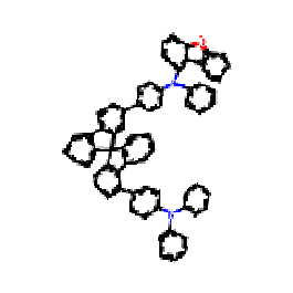 c1ccc(N(c2ccccc2)c2ccc(-c3cccc4c3-c3ccccc3C43c4ccccc4-c4ccc(-c5ccc(N(c6ccccc6)c6cccc7oc8ccccc8c67)cc5)cc43)cc2)cc1